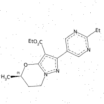 CCOC(=O)c1c(-c2cnc(CC)nc2)nn2c1O[C@H](C)CC2